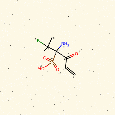 C=CC(=O)C(N)(C(C)(C)F)S(=O)(=O)O